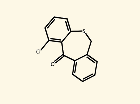 O=C1c2ccccc2CSc2cccc(Cl)c21